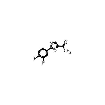 O=C(c1cnc(-c2ccc(F)c(F)c2)s1)C(F)(F)F